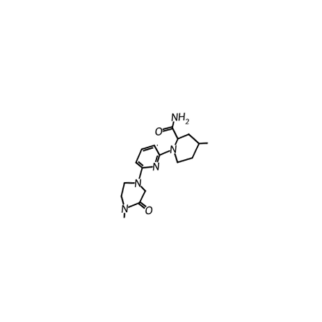 CC1CCN(c2[c]ccc(N3CCN(C)C(=O)C3)n2)C(C(N)=O)C1